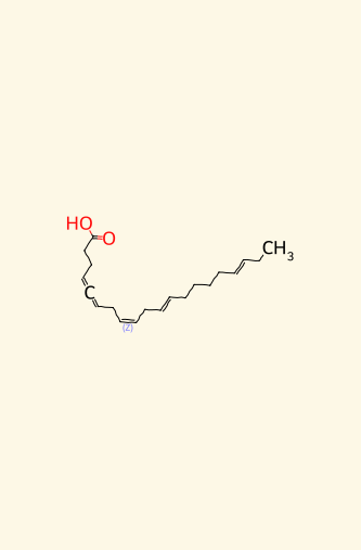 CCC=CCCCCC=CC/C=C\CC=C=CCCC(=O)O